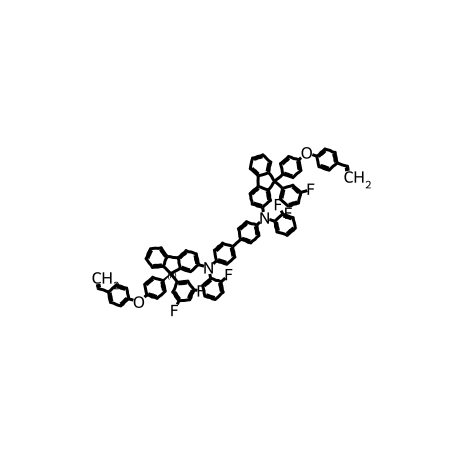 C=Cc1ccc(Oc2ccc(C3(c4cc(F)cc(F)c4)c4ccccc4-c4ccc(N(c5ccc(-c6ccc(N(c7ccc8c(c7)[C@](c7ccc(Oc9ccc(C=C)cc9)cc7)(c7cc(F)cc(F)c7)c7ccccc7-8)c7ccccc7F)cc6)cc5)c5ccccc5F)cc43)cc2)cc1